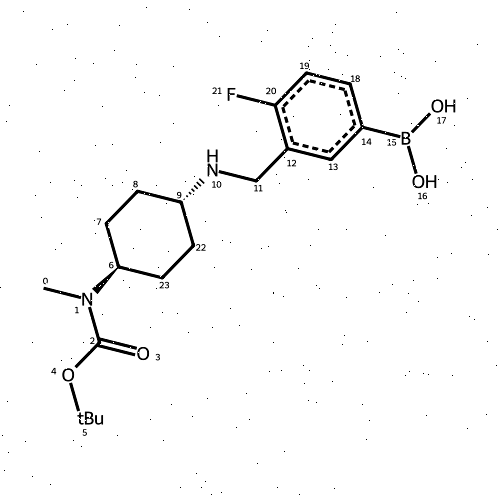 CN(C(=O)OC(C)(C)C)[C@H]1CC[C@H](NCc2cc(B(O)O)ccc2F)CC1